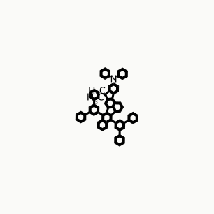 CC1(C)c2cc(N(c3ccccc3)c3ccccc3)ccc2-c2c1cc1c3c(cccc23)-c2c-1c(-c1cc(-c3ccccc3)cc(-c3ccccc3)c1)c1ccccc1c2-c1cc(-c2ccccc2)cc(-c2ccccc2)c1